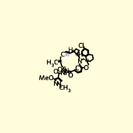 COc1nn(C)cc1C(=O)N[S@@]1(=O)=NC(=O)c2ccc3c(c2)N(C[C@@H]2CC[C@H]2/C=C/CC[C@H](C)C1)C[C@@]1(CCCc2cc(Cl)ccc21)CO3